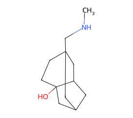 CNCC12CCC3(O)CC(CC3C1)C2